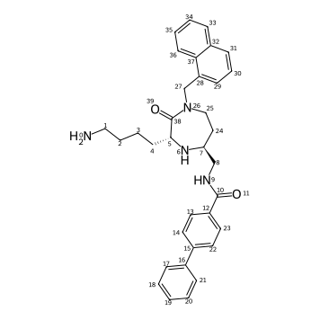 NCCCC[C@H]1N[C@H](CNC(=O)c2ccc(-c3ccccc3)cc2)CCN(Cc2cccc3ccccc23)C1=O